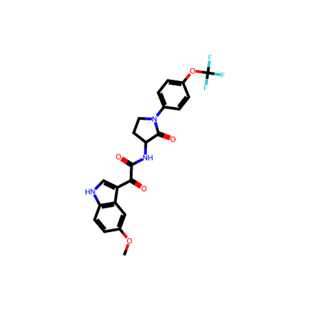 COc1ccc2[nH]cc(C(=O)C(=O)NC3CCN(c4ccc(OC(F)(F)F)cc4)C3=O)c2c1